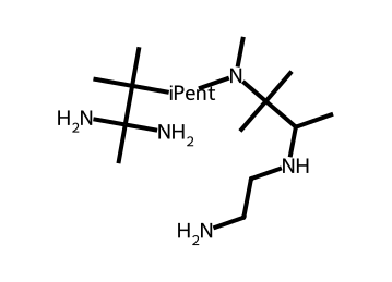 CC(NCCN)C(C)(C)N(C)C.CCCC(C)C(C)(C)C(C)(N)N